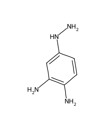 NNc1ccc(N)c(N)c1